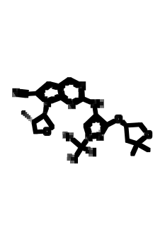 [2H]C([2H])([2H])n1cc(Nc2ncc3cc(C#N)n([C@H]4COC[C@@H]4C)c3n2)c(O[C@H]2COC(C)(C)C2)n1